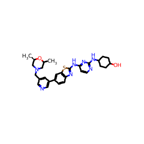 CC1CN(Cc2cncc(-c3ccc4nc(Nc5ccnc(NC6CCC(O)CC6)n5)sc4c3)c2)C[C@@H](C)O1